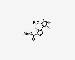 COC(=O)c1ccc(-c2c(C(F)(F)F)n[nH]c2C)n1C